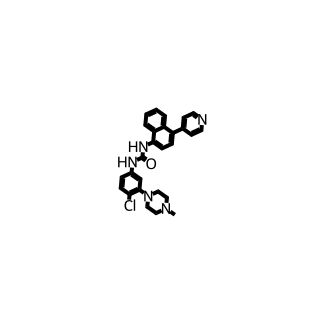 CN1CCN(c2cc(NC(=O)Nc3ccc(-c4ccncc4)c4ccccc34)ccc2Cl)CC1